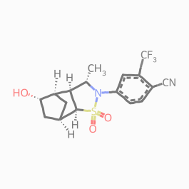 C[C@H]1[C@@H]2[C@H]3C[C@H](C[C@@H]3O)[C@@H]2S(=O)(=O)N1c1ccc(C#N)c(C(F)(F)F)c1